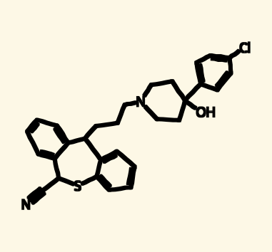 N#CC1Sc2ccccc2C(CCCN2CCC(O)(c3ccc(Cl)cc3)CC2)c2ccccc21